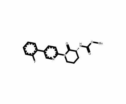 CC(C)(C)OC(=O)N[C@@H]1CCCN(c2ccc(-c3ccccc3F)cn2)C1=O